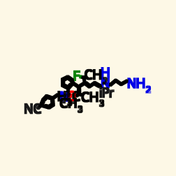 C=C(F)/C(=C\C=C(\NCCCCN)C(C)C)C(=C(C)C)c1ccccc1C(=O)N(C)Cc1ccc(C#N)cc1